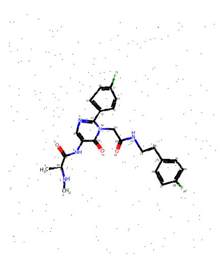 CN[C@@H](C)C(=O)Nc1cnc(-c2ccc(F)cc2)n(CC(=O)NCCc2ccc(F)cc2)c1=O